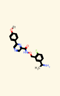 CCOc1ccc(-c2cncc(C(=O)NOCc3cc(C(C)N)ccc3F)n2)cc1